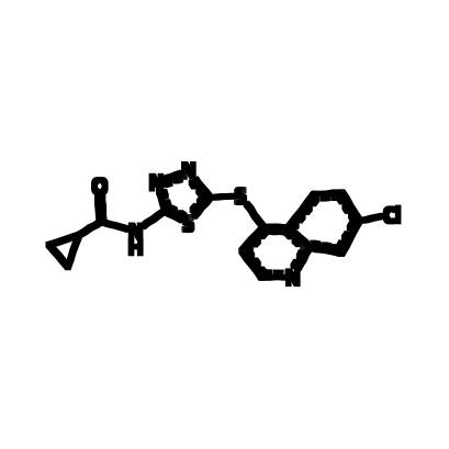 O=C(Nc1nnc(Sc2ccnc3cc(Cl)ccc23)s1)C1CC1